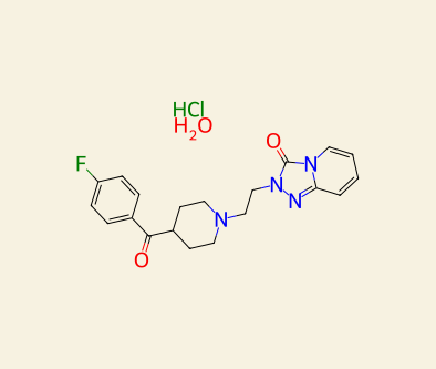 Cl.O.O=C(c1ccc(F)cc1)C1CCN(CCn2nc3ccccn3c2=O)CC1